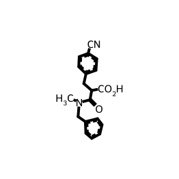 CN(Cc1ccccc1)C(=O)C(Cc1ccc(C#N)cc1)C(=O)O